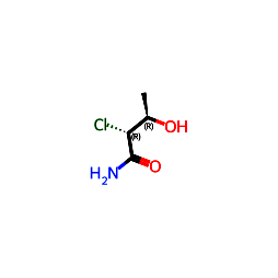 C[C@@H](O)[C@@H](Cl)C(N)=O